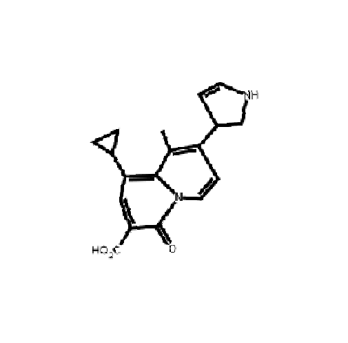 Cc1c(C2C=CNC2)ccn2c(=O)c(C(=O)O)cc(C3CC3)c12